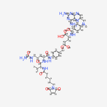 CC(C)C(NC(=O)CCCCCN1C(=O)C=CC1=O)C(=O)N[C@@H](CCCNC(N)=O)C(=O)Nc1ccc(COC(=O)CC[C@H](NC(=O)c2ccc(N(C)Cc3cnc4nc(N)nc(N)c4n3)cc2)C(=O)O)cc1